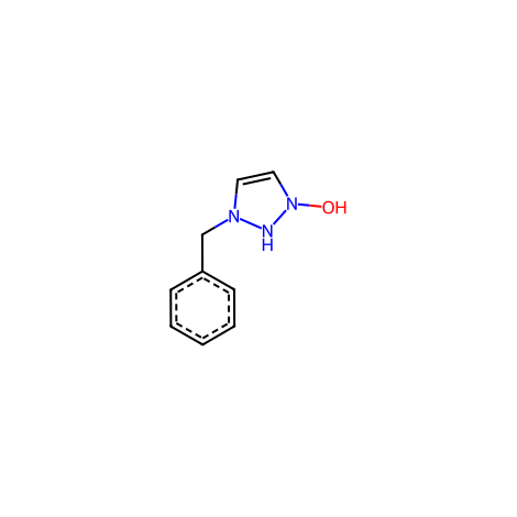 ON1C=CN(Cc2ccccc2)N1